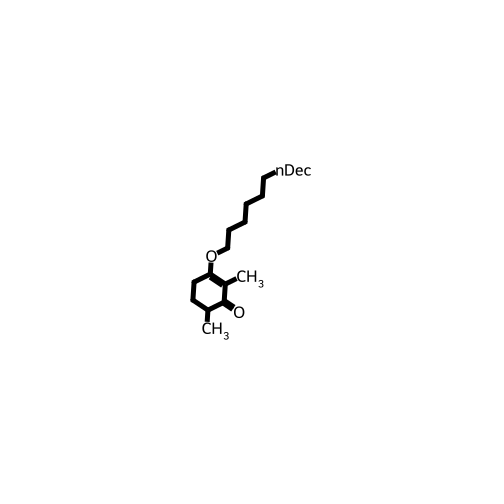 CCCCCCCCCCCCCCCCOC1=C(C)C(=O)C(C)CC1